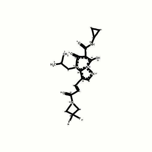 CC(C)Cn1c(=O)c(C(=O)NC2CC2)c(O)n2ncc(C=CC(=O)N3CC(F)(F)C3)c12